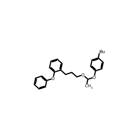 CCC(C)c1ccc(OC(C)OCCCc2ccccc2Oc2ccccc2)cc1